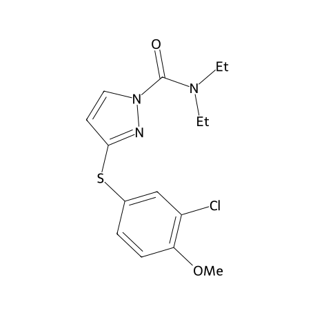 CCN(CC)C(=O)n1ccc(Sc2ccc(OC)c(Cl)c2)n1